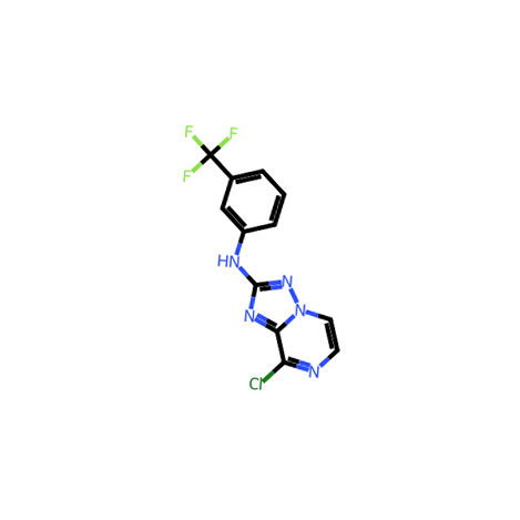 FC(F)(F)c1cccc(Nc2nc3c(Cl)nccn3n2)c1